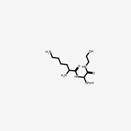 CCCCCC(NC(=O)C(N)CCCCN)C(=O)NCCO